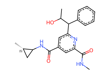 CNC(=O)c1cc(C(=O)NC2C[C@@H]2C)cc(C(c2ccccc2)C(C)O)n1